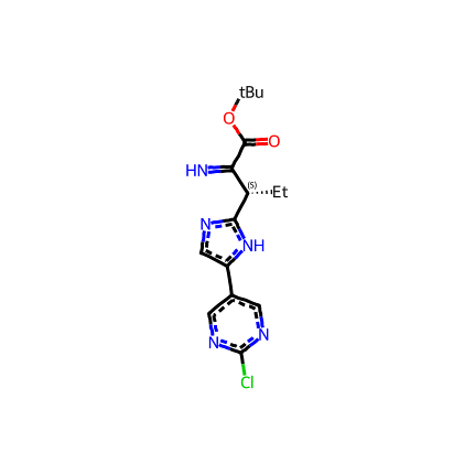 CC[C@@H](C(=N)C(=O)OC(C)(C)C)c1ncc(-c2cnc(Cl)nc2)[nH]1